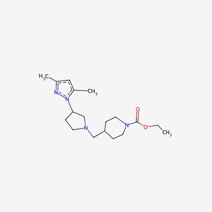 CCOC(=O)N1CCC(CN2CCC(n3nc(C)cc3C)C2)CC1